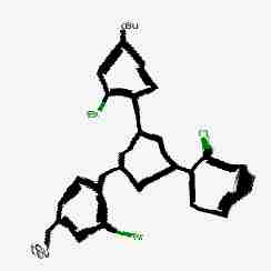 CC(C)(C)c1ccc(C2CC(c3ccccc3Cl)CC(c3ccc(C(C)(C)C)cc3Br)C2)c(Br)c1